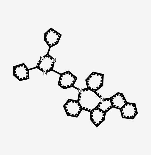 c1ccc(-c2nc(-c3ccccc3)nc(-c3ccc(-n4c5ccccc5c5cccc6c7c8ccccc8ccc7n(c7ccccc74)c56)cc3)n2)cc1